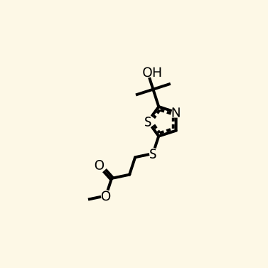 COC(=O)CCSc1cnc(C(C)(C)O)s1